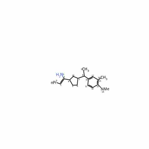 CCC/C=C(\N)C1CCC(C(C)c2ccc(NC)c(C)c2)C1